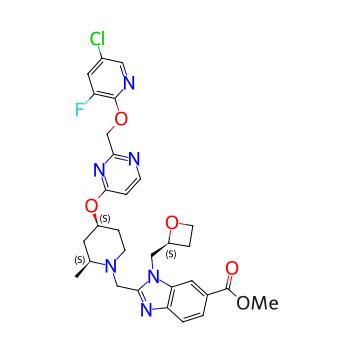 COC(=O)c1ccc2nc(CN3CC[C@H](Oc4ccnc(COc5ncc(Cl)cc5F)n4)C[C@@H]3C)n(C[C@@H]3CCO3)c2c1